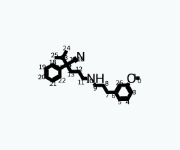 COc1cccc(CCCNCCCC(C#N)(c2ccccc2)C(C)C)c1